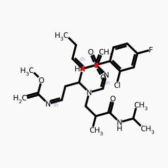 C=C(/C=C\CC)/N=C\N(CC(C)C(=O)NC(C)C)C(C/C=N\C(=C)OC)NS(=O)(=O)c1ccc(F)cc1Cl